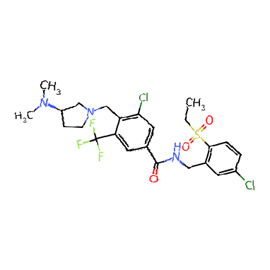 CCS(=O)(=O)c1ccc(Cl)cc1CNC(=O)c1cc(Cl)c(CN2CC[C@@H](N(C)C)C2)c(C(F)(F)F)c1